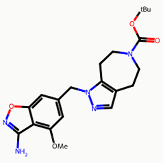 COc1cc(Cn2ncc3c2CCN(C(=O)OC(C)(C)C)CC3)cc2onc(N)c12